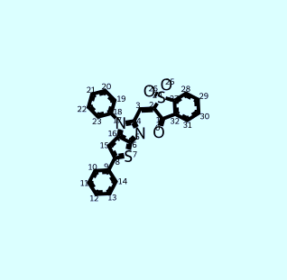 O=C1/C(=C\c2nc3sc(-c4ccccc4)cc3n2-c2ccccc2)S(=O)(=O)c2ccccc21